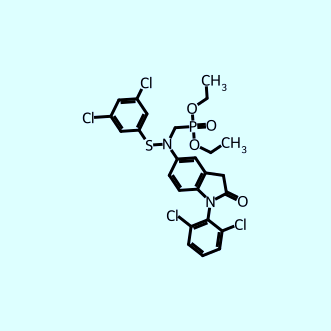 CCOP(=O)(CN(Sc1cc(Cl)cc(Cl)c1)c1ccc2c(c1)CC(=O)N2c1c(Cl)cccc1Cl)OCC